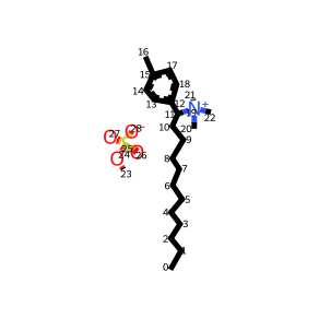 CCCCCCCCCCCC(c1ccc(C)cc1)[N+](C)(C)C.COS(=O)(=O)[O-]